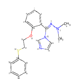 CN(C)N=C(c1ccccc1OCCSc1ccccc1)n1ccnc1